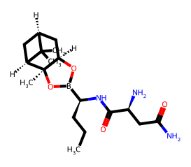 CCC[C@H](NC(=O)[C@@H](N)CC(N)=O)B1O[C@@H]2C[C@@H]3C[C@@H](C3(C)C)[C@]2(C)O1